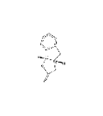 O=C1C[C@H]2Cc3ccccc3[C@H]2O1